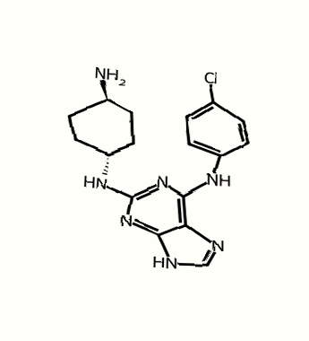 N[C@H]1CC[C@H](Nc2nc(Nc3ccc(Cl)cc3)c3nc[nH]c3n2)CC1